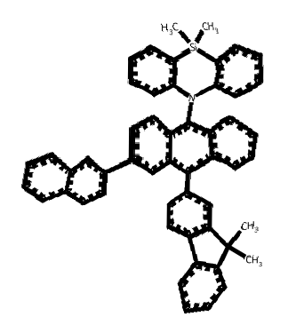 CC1(C)c2ccccc2-c2ccc(-c3c4ccccc4c(N4c5ccccc5[Si](C)(C)c5ccccc54)c4ccc(-c5ccc6ccccc6c5)cc34)cc21